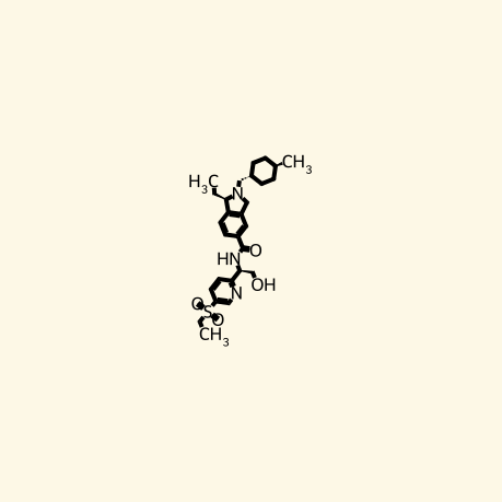 CC[C@@H]1c2ccc(C(=O)N[C@@H](CO)c3ccc(S(=O)(=O)CC)cn3)cc2CN1C[C@H]1CC[C@H](C)CC1